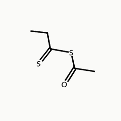 CCC(=S)SC(C)=O